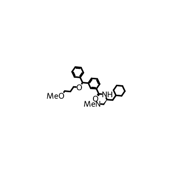 CNC[C@H](CC1CCCCC1)NC(=O)c1cccc(C(OCCCOC)c2ccccc2)c1